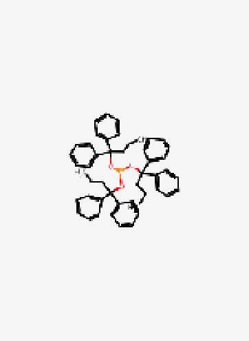 CCCC(OP(OC(CCC)(c1ccccc1)c1ccccc1)OC(CCC)(c1ccccc1)c1ccccc1)(c1ccccc1)c1ccccc1